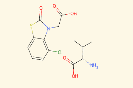 CC(C)[C@H](N)C(=O)O.O=C(O)Cn1c(=O)sc2cccc(Cl)c21